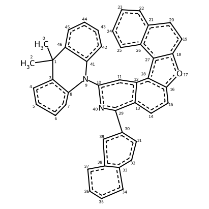 CC1(C)c2ccccc2N(c2cc3c(ccc4oc5ccc6ccccc6c5c43)c(-c3ccc4ccccc4c3)n2)c2ccccc21